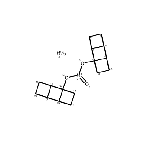 N.O=[N+](OC12C3C4C5C3C1C5C42)OC12C3C4C5C3C1C5C42